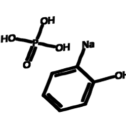 O=P(O)(O)O.Oc1cccc[c]1[Na]